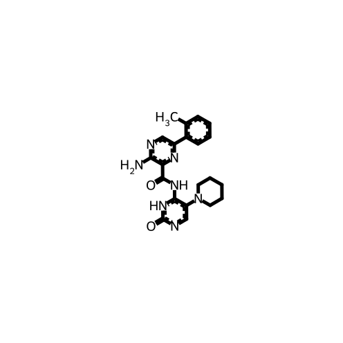 Cc1ccccc1-c1cnc(N)c(C(=O)Nc2[nH]c(=O)ncc2N2CCCCC2)n1